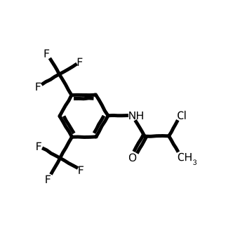 CC(Cl)C(=O)Nc1cc(C(F)(F)F)cc(C(F)(F)F)c1